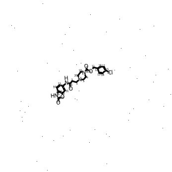 O=C(CCN1CCN(C(=O)OCc2ccc(Cl)cc2)CC1)Nc1ccc2[nH]c(=O)oc2c1